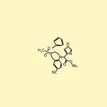 CC(C)(C)OC(=O)C(c1c[nH]cn1)N1C[C@@H](Cc2ccccc2)N(S(C)(=O)=O)Cc2cc(C#N)ccc21